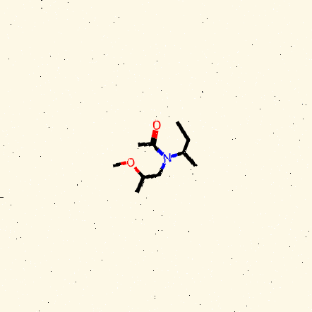 CCC(C)N(CC(C)OC)C(C)=O